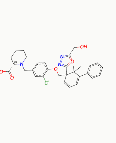 CC1(C)C(c2ccccc2)=CC=CC1(COc1ccc(CN2CCCC[C@H]2C(=O)O)cc1Cl)c1nnc(CO)o1